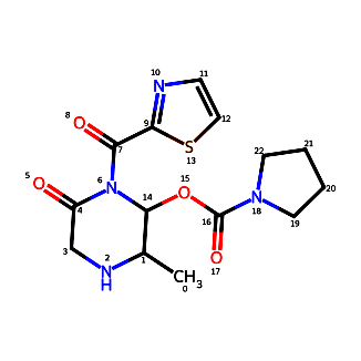 CC1NCC(=O)N(C(=O)c2nccs2)C1OC(=O)N1CCCC1